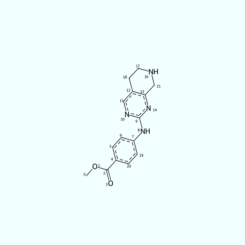 COC(=O)c1ccc(Nc2ncc3c(n2)CNCC3)cc1